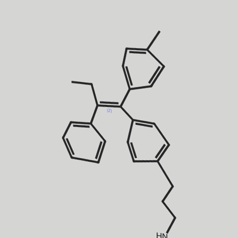 CC/C(=C(\c1ccc(C)cc1)c1ccc(CCCNC)cc1)c1ccccc1